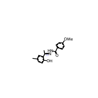 COc1ccc(C(=O)N/N=C(\C)c2cc(C)ccc2O)cc1